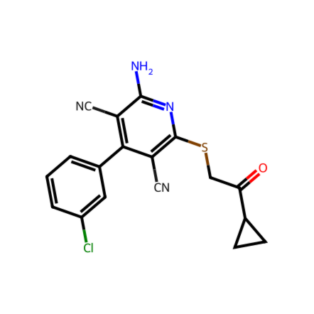 N#Cc1c(N)nc(SCC(=O)C2CC2)c(C#N)c1-c1cccc(Cl)c1